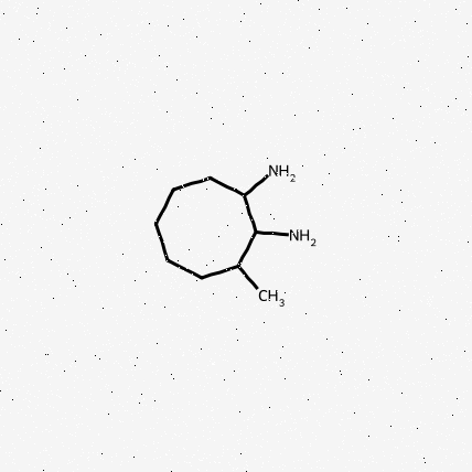 CC1CCCCCC(N)C1N